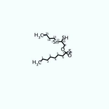 CCCCCCCC1(OC[CH](S)[Sn][CH2]CCC)OS1